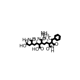 CC(c1ccccc1)C1C(=O)NC(=O)C1CCC(C(N)=O)C(CCC(CC(=O)O)C(N)=O)C(=O)O.N.N